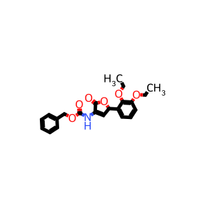 CCOc1cccc(C2C=C(NC(=O)OCc3ccccc3)C(=O)O2)c1OCC